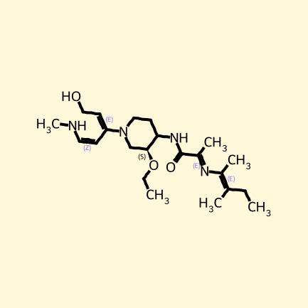 CCO[C@H]1CN(C(/C=C\NC)=C/CO)CCC1NC(=O)/C(C)=N/C(C)=C(\C)CC